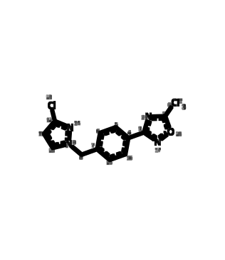 FC(F)(F)c1nc(-c2ccc(Cn3ccc(Cl)n3)cc2)no1